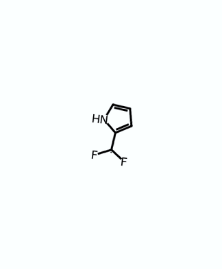 F[C](F)c1ccc[nH]1